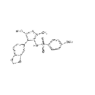 COc1ccc(S(=O)(=O)Nc2c(-c3ccc4c(c3)OCO4)c(OC)nn2C)cc1